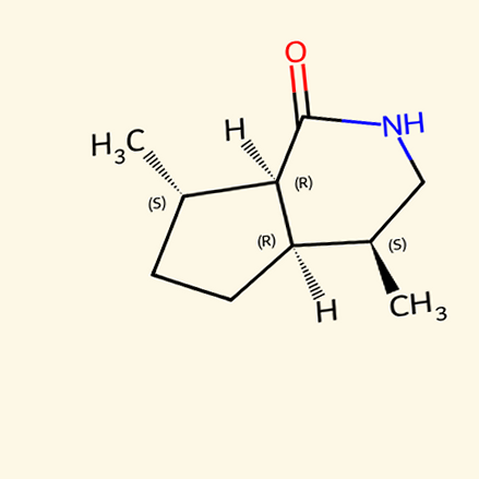 C[C@@H]1CNC(=O)[C@H]2[C@@H]1CC[C@@H]2C